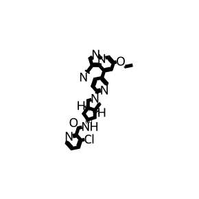 CCOc1cc(-c2ccc(N3C[C@H]4C[C@@H](NC(=O)c5ncccc5Cl)C[C@H]4C3)nc2)c2c(C#N)cnn2c1